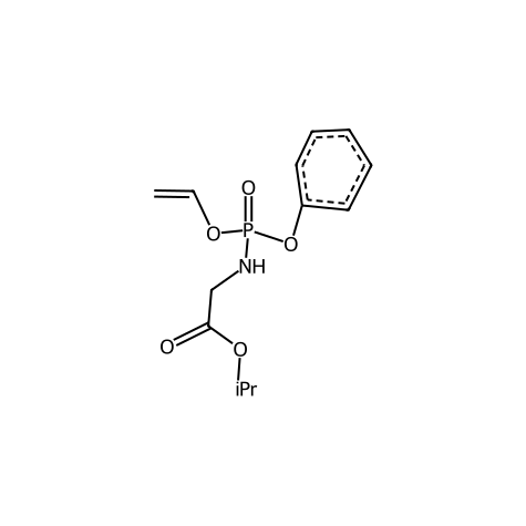 C=COP(=O)(NCC(=O)OC(C)C)Oc1ccccc1